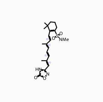 CNS(=O)(=O)C1=C(/C=C/C(C)=C/C=C/C(C)=C/c2noc(=O)[nH]2)C(C)(C)CCC1